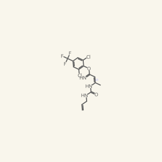 C=CCNC(=O)N/C(C)=C\C(=N)Oc1c(Cl)cc(C(F)(F)F)cc1Cl